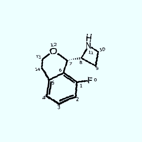 Fc1cccc2c1[C@@H](C1CCN1)OCC2